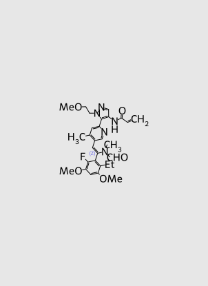 C=CC(=O)Nc1cnn(CCOC)c1-c1cc(C)c(/C=C(/c2c(F)c(OC)cc(OC)c2CC)N(C)C=O)cn1